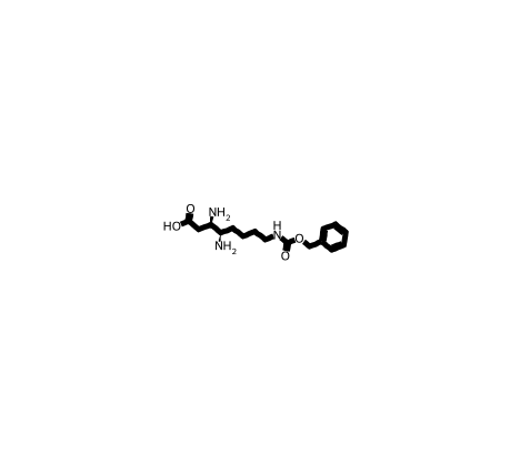 N[C@H](CC(=O)O)[C@@H](N)CCCCNC(=O)OCc1ccccc1